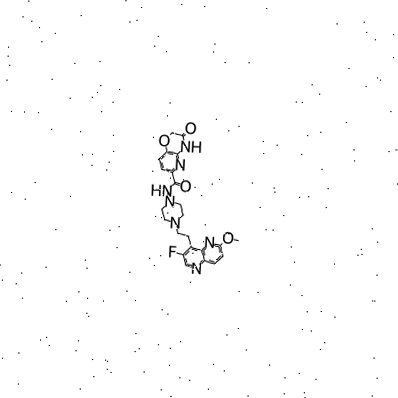 COc1ccc2ncc(F)c(CCN3CCN(NC(=O)c4ccc5c(n4)NC(=O)CO5)CC3)c2n1